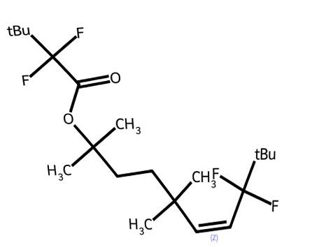 CC(C)(/C=C\C(F)(F)C(C)(C)C)CCC(C)(C)OC(=O)C(F)(F)C(C)(C)C